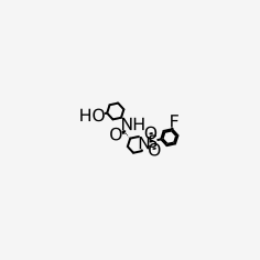 O=C(NC1CCCC(O)C1)[C@H]1CCCN(S(=O)(=O)c2cccc(F)c2)C1